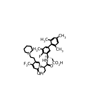 Cc1cc(C)c(-c2cc(C)c(F)c([C@H](CC(=O)O)NC(=O)C(CC(C)C)n3cc(CCN4CCCCC4)c(C(F)(F)F)cc3=O)c2)c(C)c1